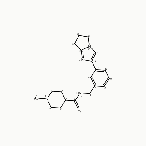 CC(=O)N1CCC(C(=O)NCc2cccc(-c3cn4c(n3)CCC4)c2)CC1